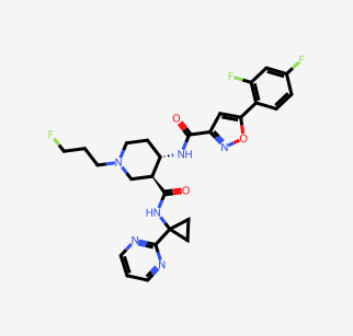 O=C(N[C@H]1CCN(CCCF)C[C@@H]1C(=O)NC1(c2ncccn2)CC1)c1cc(-c2ccc(F)cc2F)on1